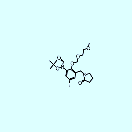 COCCOCOc1c(CN2CCCC2=O)cc(I)cc1N(C=O)OC(C)(C)C